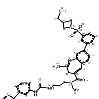 C=NCc1cccc(NC(=O)NCCCN(CCC)C(=O)C2=Cc3ccc(-c4cccc(S(=O)(=O)N5CC(CO)C5)c4)cc3N=C(N)C2)c1